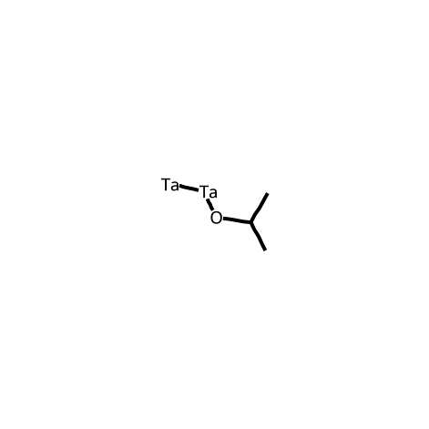 CC(C)[O][Ta][Ta]